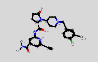 C#Cc1cc(C(=O)N(C)C)cc(NC(=O)[C@H]2CCC(=O)N2C2CCN(Cc3ccc(Cl)c(C)c3)CC2)n1